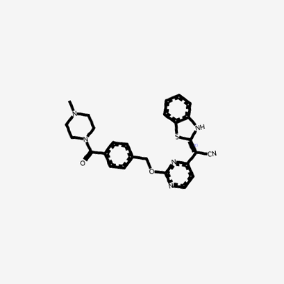 CN1CCN(C(=O)c2ccc(COc3nccc(/C(C#N)=C4/Nc5ccccc5S4)n3)cc2)CC1